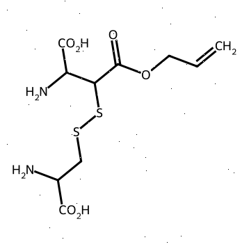 C=CCOC(=O)C(SSCC(N)C(=O)O)C(N)C(=O)O